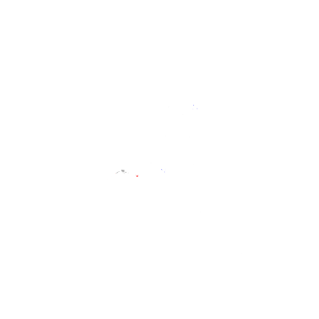 c1ccc(-c2ccc(-c3ccc4ccccc4c3)cc2N(c2ccc(-c3ccccc3-n3c4ccccc4c4ccccc43)cc2)c2ccc3c(c2)oc2ccccc23)cc1